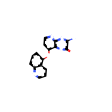 Nc1nc2nccc(Oc3cccc4ncccc34)c2[nH]c1=O